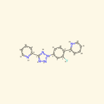 Fc1cc(-n2nnc(-c3ccccn3)n2)ccc1-c1ccccn1